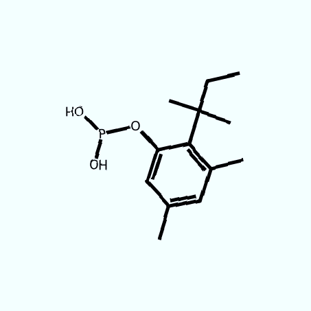 CCC(C)(C)c1c(C)cc(C)cc1OP(O)O